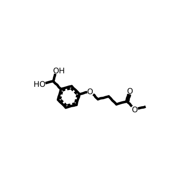 COC(=O)CCCOc1cccc(C(O)O)c1